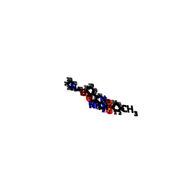 Cc1ccc(S(=O)(=O)n2c[c]c3c(C(N)=O)c(-c4cccc(OCCN5CCCC5)c4)cnc32)cc1